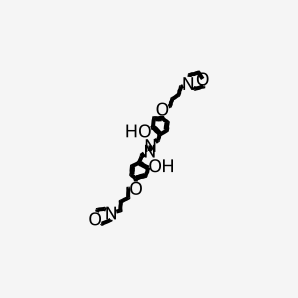 Oc1cc(OCCCCN2CCOCC2)ccc1C=NN=Cc1ccc(OCCCCN2CCOCC2)cc1O